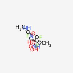 CNCc1ccc(C(=O)N2CCC[C@@H]([C@@](O)(CCCNC(=O)O)c3cccc(F)c3-c3cc(C)cc(F)c3)C2)c(F)c1